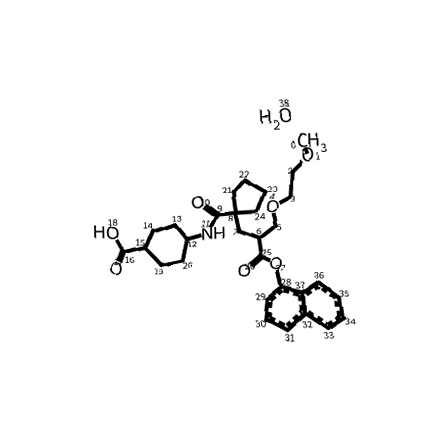 COCCOCC(CC1(C(=O)NC2CCC(C(=O)O)CC2)CCCC1)C(=O)Oc1cccc2ccccc12.O